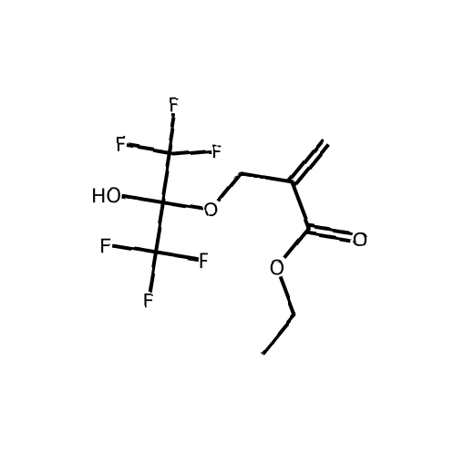 C=C(COC(O)(C(F)(F)F)C(F)(F)F)C(=O)OCC